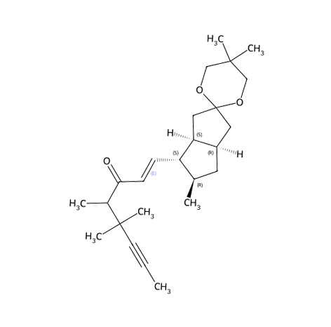 CC#CC(C)(C)C(C)C(=O)/C=C/[C@@H]1[C@H]2CC3(C[C@H]2C[C@H]1C)OCC(C)(C)CO3